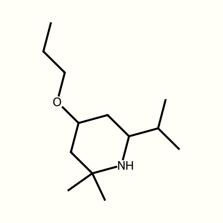 CCCOC1CC(C(C)C)NC(C)(C)C1